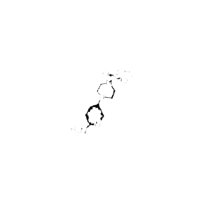 CS(=O)(=O)N1CCN(c2ccc(N)nc2)CC1